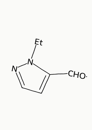 CCn1nccc1[C]=O